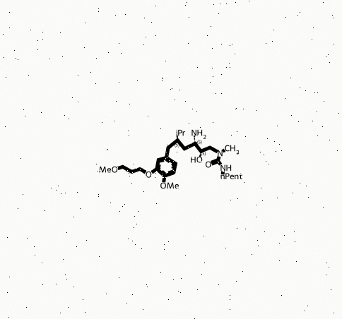 CCCCCNC(=O)N(C)C[C@H](O)[C@@H](N)C[C@H](Cc1ccc(OC)c(OCCCOC)c1)C(C)C